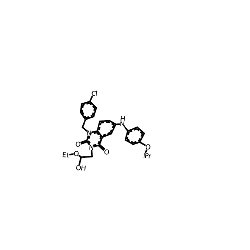 CCOC(O)Cn1c(=O)c2cc(Nc3ccc(OC(C)C)cc3)ccc2n(Cc2ccc(Cl)cc2)c1=O